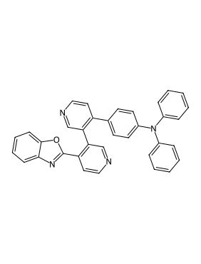 c1ccc(N(c2ccccc2)c2ccc(-c3ccncc3-c3cnccc3-c3nc4ccccc4o3)cc2)cc1